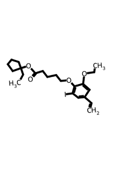 C=Cc1cc(I)c(OCCCCC(=O)OC2(CC)CCCC2)c(OCC)c1